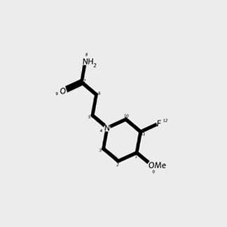 COC1CCN(C[CH]C(N)=O)CC1F